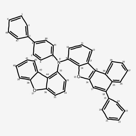 c1ccc(-c2ccc(N(c3cccc4c3oc3cc(-c5ccccc5)c5ccccc5c34)c3cccc4oc5ccccc5c34)cc2)cc1